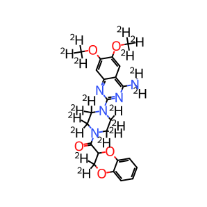 [2H]N([2H])c1nc(N2C([2H])([2H])C([2H])([2H])N(C(=O)C3Oc4ccccc4OC3([2H])[2H])C([2H])([2H])C2([2H])[2H])nc2cc(OC([2H])([2H])[2H])c(OC([2H])([2H])[2H])cc12